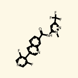 Cn1nc(C(F)(F)F)cc1NC(=O)c1ccc2cc(-c3c(F)cncc3F)cnc2c1